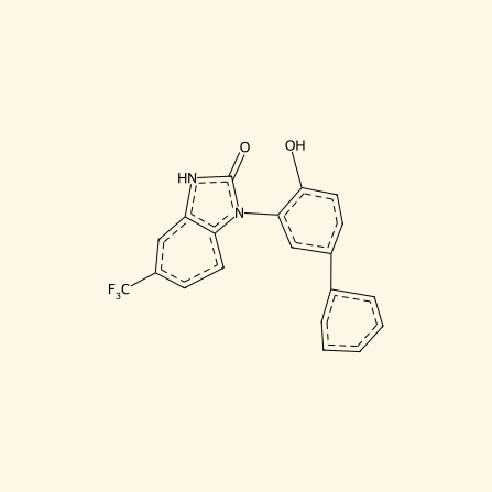 O=c1[nH]c2cc(C(F)(F)F)ccc2n1-c1cc(-c2ccccc2)ccc1O